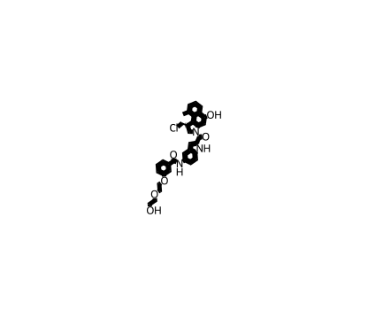 Cc1cccc2c(O)cc3c(c12)[C@H](CCl)CN3C(=O)c1cc2cc(NC(=O)c3cccc(OCCOCCO)c3)ccc2[nH]1